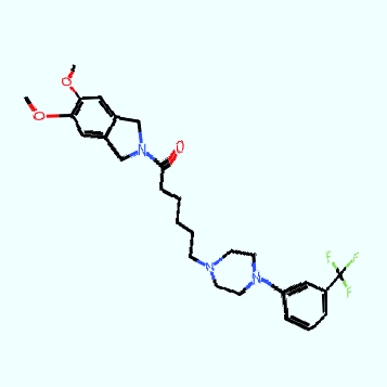 COc1cc2c(cc1OC)CN(C(=O)CCCCCN1CCN(c3cccc(C(F)(F)F)c3)CC1)C2